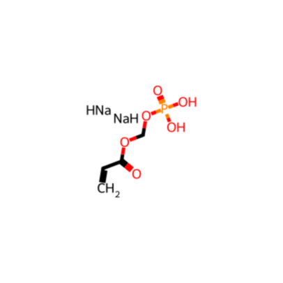 C=CC(=O)OCOP(=O)(O)O.[NaH].[NaH]